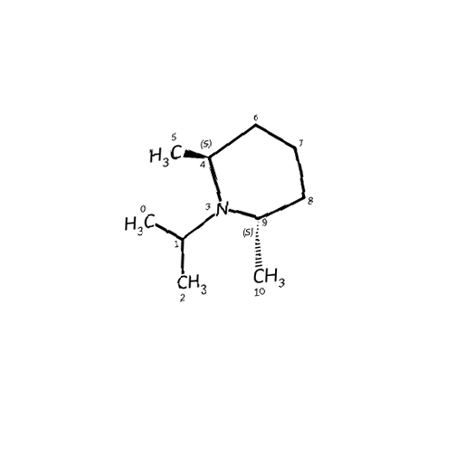 CC(C)N1[C@@H](C)CCC[C@@H]1C